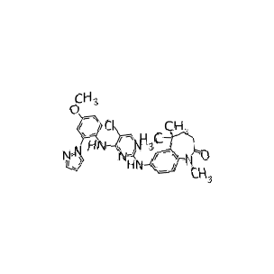 COc1ccc(Nc2nc(Nc3ccc4c(c3)C(C)(C)CCC(=O)N4C)ncc2Cl)c(-n2cccn2)c1